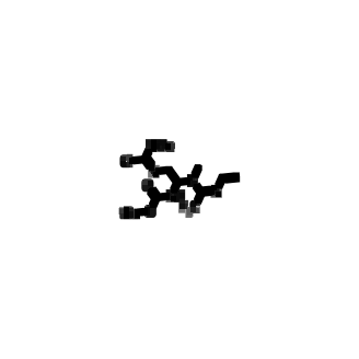 C=C/N=C(\N(C)C(C/N=C(/Cl)NC)NC(=O)OC(C)(C)C)C(F)(F)F